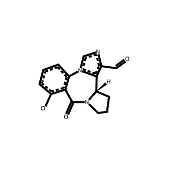 O=Cc1ncn2c1[C@@H]1CCCN1C(=O)c1c(Cl)cccc1-2